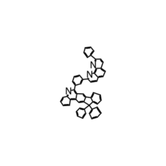 c1ccc(-c2ccc3ccc4ccc(-c5cccc(-c6nc7ccccc7c7cc8c(cc67)-c6ccccc6C8(c6ccccc6)c6ccccc6)c5)nc4c3n2)cc1